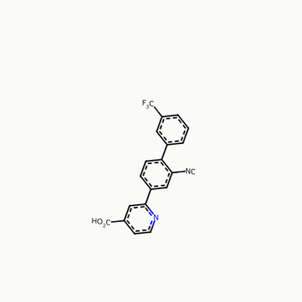 [C-]#[N+]c1cc(-c2cc(C(=O)O)ccn2)ccc1-c1cccc(C(F)(F)F)c1